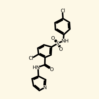 O=C(Nc1cccnc1)c1cc(S(=O)(=O)Nc2ccc(Cl)cc2)ccc1Cl